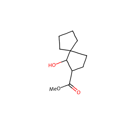 COC(=O)C1CCC2(CCCC2)C1O